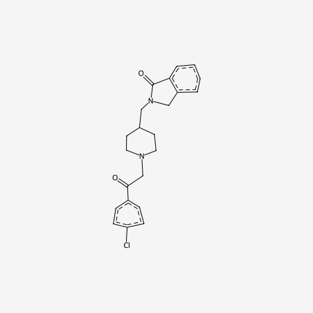 O=C(CN1CCC(CN2Cc3ccccc3C2=O)CC1)c1ccc(Cl)cc1